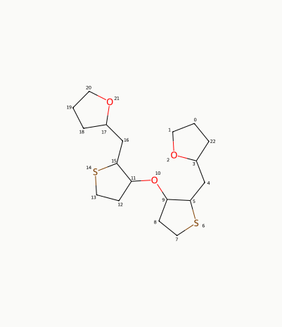 C1COC(CC2SCCC2OC2CCSC2CC2CCCO2)C1